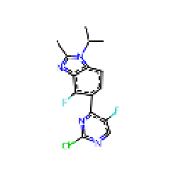 Cc1nc2c(F)c(-c3nc(Cl)ncc3F)ccc2n1C(C)C